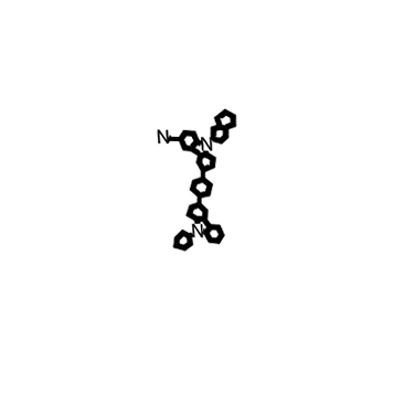 N#Cc1ccc2c(c1)c1cc(-c3ccc(-c4ccc5c(c4)c4ccccc4n5-c4ccccc4)cc3)ccc1n2-c1ccc2ccccc2c1